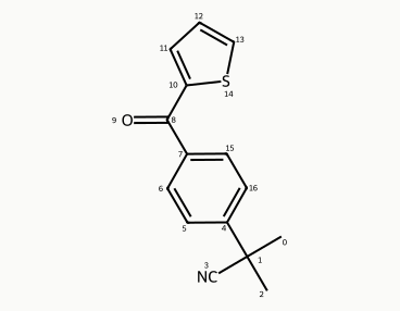 CC(C)(C#N)c1ccc(C(=O)c2cccs2)cc1